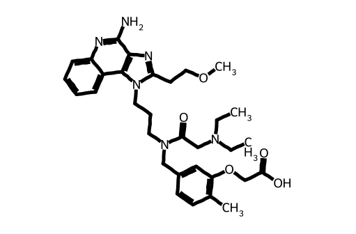 CCN(CC)CC(=O)N(CCCn1c(CCOC)nc2c(N)nc3ccccc3c21)Cc1ccc(C)c(OCC(=O)O)c1